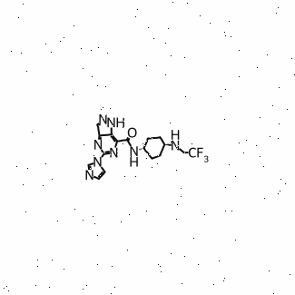 O=C(N[C@H]1CC[C@H](NCC(F)(F)F)CC1)c1nc(-n2ccnc2)nc2cn[nH]c12